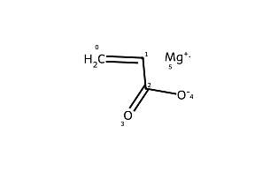 C=CC(=O)[O-].[Mg+]